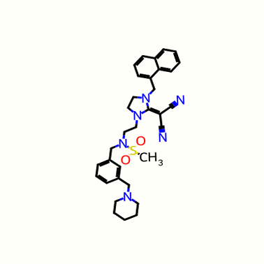 CS(=O)(=O)N(CCN1CCN(Cc2cccc3ccccc23)C1=C(C#N)C#N)Cc1cccc(CN2CCCCC2)c1